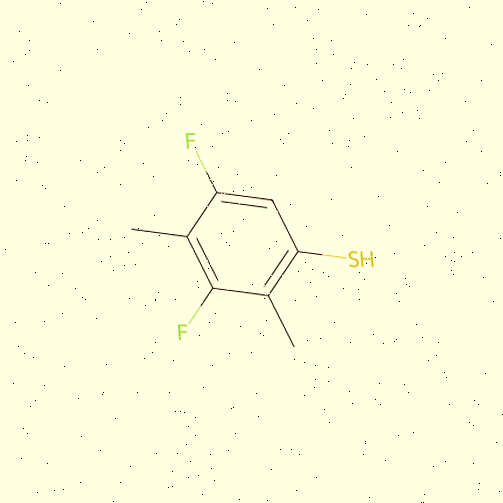 Cc1c(F)cc(S)c(C)c1F